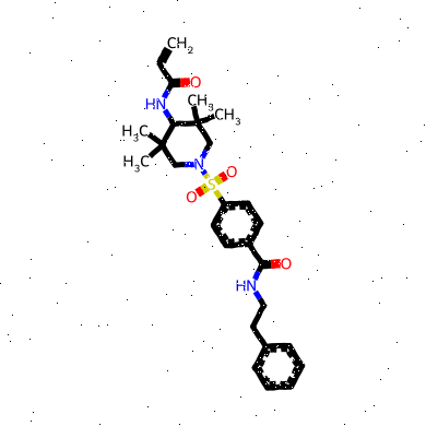 C=CC(=O)NC1C(C)(C)CN(S(=O)(=O)c2ccc(C(=O)NCCc3ccccc3)cc2)CC1(C)C